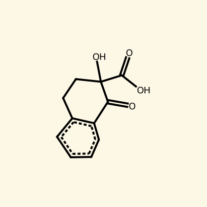 O=C(O)C1(O)CCc2ccccc2C1=O